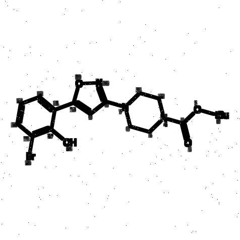 CC(C)(C)OC(=O)N1CCN(c2cc(-c3cccc(Br)c3O)on2)CC1